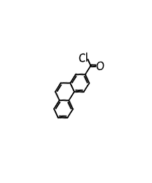 O=C(Cl)c1ccc2c(ccc3ccccc32)c1